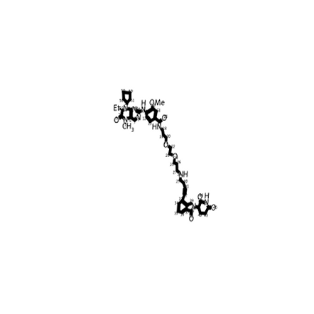 CC[C@@H]1C(=O)N(C)c2cnc(Nc3ccc(C(=O)NCCCOCCOCCCNCCC#Cc4cccc5c4CN(C4CCC(=O)NC4=O)C5=O)cc3OC)nc2N1C1CCCC1